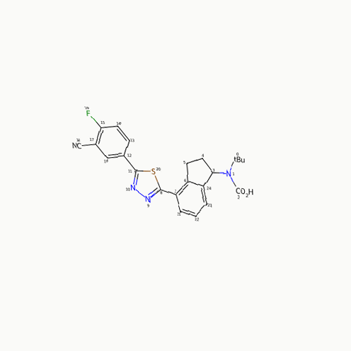 CC(C)(C)N(C(=O)O)C1CCc2c(-c3nnc(-c4ccc(F)c(C#N)c4)s3)cccc21